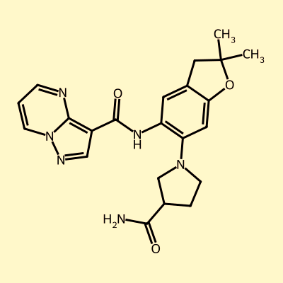 CC1(C)Cc2cc(NC(=O)c3cnn4cccnc34)c(N3CCC(C(N)=O)C3)cc2O1